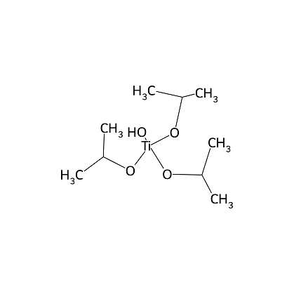 CC(C)[O][Ti]([OH])([O]C(C)C)[O]C(C)C